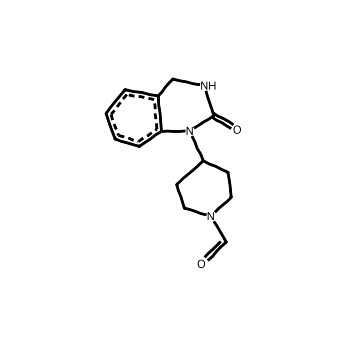 O=CN1CCC(N2C(=O)NCc3ccccc32)CC1